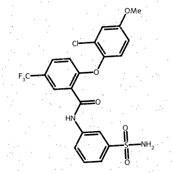 COc1ccc(Oc2ccc(C(F)(F)F)cc2C(=O)Nc2cccc(S(N)(=O)=O)c2)c(Cl)c1